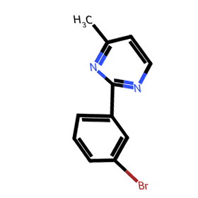 Cc1ccnc(-c2cccc(Br)c2)n1